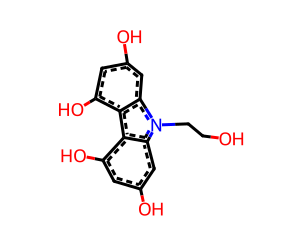 OCCn1c2cc(O)cc(O)c2c2c(O)cc(O)cc21